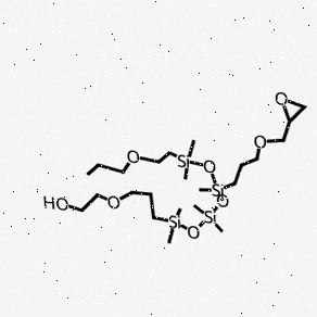 CCCOCC[Si](C)(C)O[Si](C)(CCCOCC1CO1)O[Si](C)(C)O[Si](C)(C)CCCOCCO